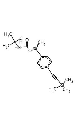 C[C@H](OC(=O)NC(C)(C)C)c1ccc(C#C[Si](C)(C)C)cc1